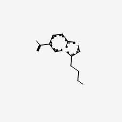 CCCCc1cnc2ccc(C(=O)O)cn12